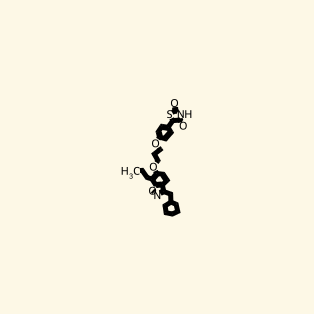 CCCc1c(OCCCOc2ccc(C3SC(=O)NC3=O)cc2)ccc2c(CC3CCCCC3)noc12